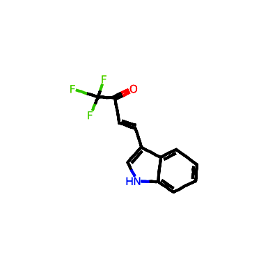 O=C(C=Cc1c[nH]c2ccccc12)C(F)(F)F